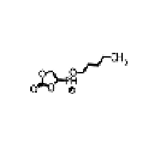 CCCCCO[PH](=O)C1COC(=O)O1